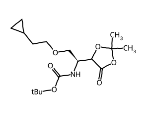 CC(C)(C)OC(=O)N[C@@H](COCCC1CC1)C1OC(C)(C)OC1=O